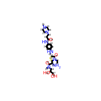 CCN1C(=O)[C@@H](CNc2ccc(NC(=O)CCN3CCN(C)CC3)cc2)SC1[C@H](N)C(=O)N(C)CC(O)CO